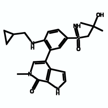 Cn1cc(-c2cc(S(=N)(=O)CC(C)(C)O)ccc2NCC2CC2)c2cc[nH]c2c1=O